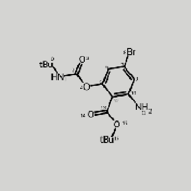 CC(C)(C)NC(=O)Oc1cc(Br)cc(N)c1C(=O)OC(C)(C)C